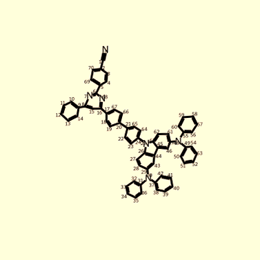 N#Cc1ccc(-c2nc(-c3ccccc3)cc(-c3ccc(-c4ccc(-n5c6ccc(N(c7ccccc7)c7ccccc7)cc6c6cc(N(c7ccccc7)c7ccccc7)ccc65)cc4)cc3)n2)cc1